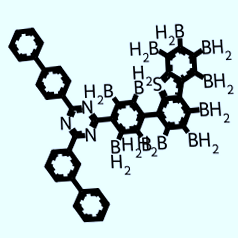 Bc1c(B)c(-c2c(B)c(B)c(B)c3c2sc2c(B)c(B)c(B)c(B)c23)c(B)c(B)c1-c1nc(-c2ccc(-c3ccccc3)cc2)nc(-c2cccc(-c3ccccc3)c2)n1